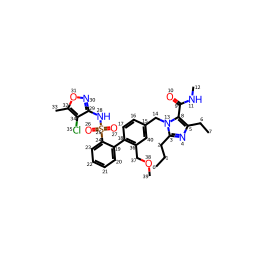 CCCc1nc(CC)c(C(=O)NC)n1Cc1ccc(-c2ccccc2S(=O)(=O)Nc2noc(C)c2Cl)c(COC)c1